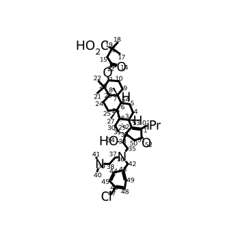 CC(C)C1=C2[C@H]3CC[C@@H]4[C@@]5(C)CC[C@H](OC(=O)CC(C)(C)C(=O)O)C(C)(C)C5CC[C@@]4(C)[C@]3(C)CC[C@@]2([C@@H](O)CN(CCN(C)C)Cc2ccc(Cl)cc2)CC1=O